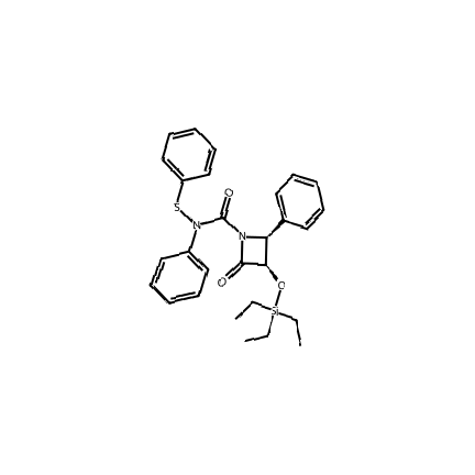 CC[Si](CC)(CC)O[C@H]1C(=O)N(C(=O)N(Sc2ccccc2)c2ccccc2)[C@H]1c1ccccc1